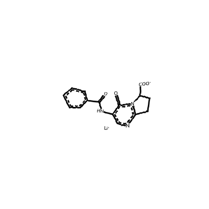 O=C(Nc1cnc2n(c1=O)C(C(=O)[O-])CC2)c1ccccc1.[Li+]